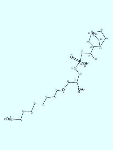 CCCCCCCCCCCCCCCCCCOCC(COP(=O)(O)OC(C)C1CN2CCC1CC2)OC(C)=O